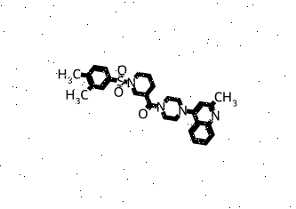 Cc1cc(N2CCN(C(=O)C3CCCN(S(=O)(=O)c4ccc(C)c(C)c4)C3)CC2)c2ccccc2n1